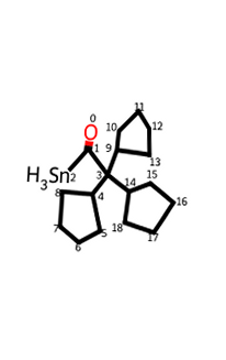 O=[C]([SnH3])C(C1CCCC1)(C1CCCC1)C1CCCC1